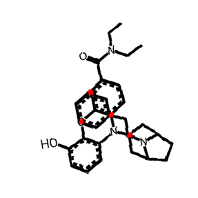 CCN(CC)C(=O)c1ccc2c(c1)Oc1c(O)cccc1N2C1CC2CCC(C1)N2CCc1ccccc1